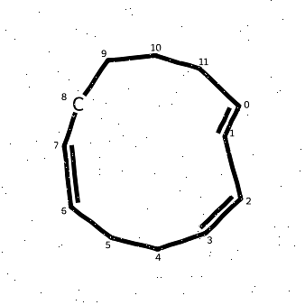 [C]1=C/C=C\CC/C=C\CCCC/1